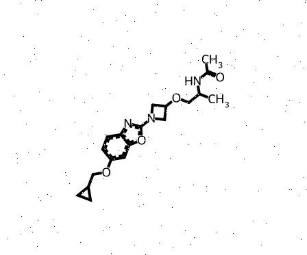 CC(=O)NC(C)COC1CN(c2nc3ccc(OCC4CC4)cc3o2)C1